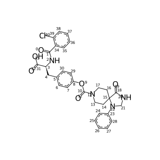 O=C(N[C@@H](Cc1ccc(OC(=O)N2CCC3(CC2)C(=O)NCN3c2ccccc2)cc1)C(=O)O)c1ccccc1Cl